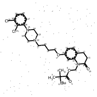 CC(C)(C)C(C)(C)C(=O)OCN1C(=O)CCc2ccc(OCCCCN3CCN(c4cccc(Cl)c4Cl)CC3)cc21